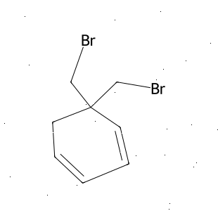 BrCC1(CBr)C=CC=CC1